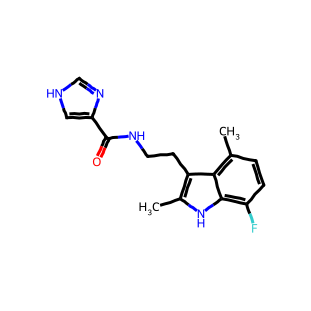 Cc1[nH]c2c(F)ccc(C)c2c1CCNC(=O)c1c[nH]cn1